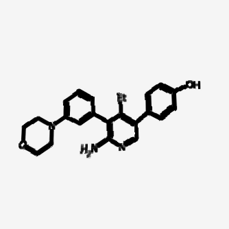 CCc1c(-c2ccc(O)cc2)cnc(N)c1-c1cccc(N2CCOCC2)c1